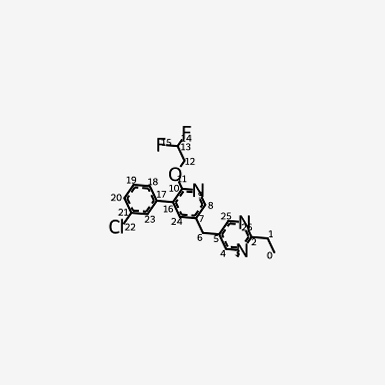 CCc1ncc(Cc2cnc(OCC(F)F)c(-c3cccc(Cl)c3)c2)cn1